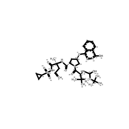 C=CC[C@](C)(NC(=O)[C@@H]1C[C@@H](Oc2nnc(O)c3ccccc23)CN1C(=O)[C@@H](NC(O)OC(C)(C)C)C(C)(C)C)C(=O)NS(=O)(=O)C1CC1